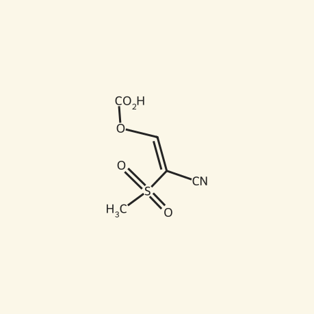 CS(=O)(=O)C(C#N)=COC(=O)O